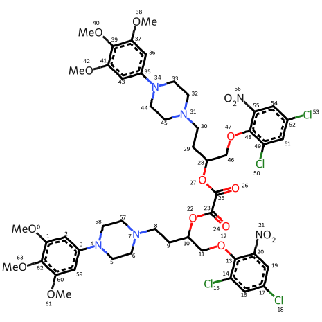 COc1cc(N2CCN(CCC(COc3c(Cl)cc(Cl)cc3[N+](=O)[O-])OC(=O)C(=O)OC(CCN3CCN(c4cc(OC)c(OC)c(OC)c4)CC3)COc3c(Cl)cc(Cl)cc3[N+](=O)[O-])CC2)cc(OC)c1OC